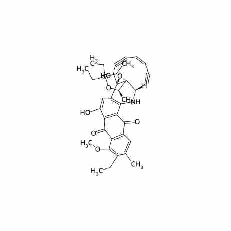 CCc1c(C)cc2c(c1OC)C(=O)c1c(O)cc3c(c1C2=O)N[C@H]1C#C/C=C\C#C[C@@H](O)[C@@]32O[C@@]12[C@@H](C)O[Si](CC)(CC)CC